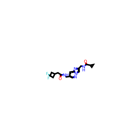 O=C(CC1CC(F)(F)C1)NCc1cnn2cc(CNC(=O)C3CC3)nc2c1